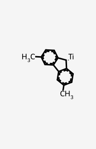 Cc1ccc2c(c1)-c1cc(C)ccc1[CH]2.[Ti]